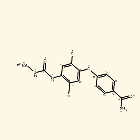 CCCCCNC(=O)Nc1cc(F)c(Oc2ccc(C(N)=O)cc2)cc1F